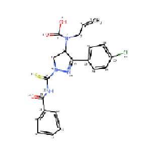 C=CCN(C(=O)O)C1CN(C(=S)NC(=O)c2ccccc2)N=C1c1ccc(Cl)cc1